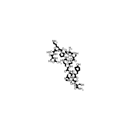 CC(=O)N[C@@H](CS)C(=O)N[C@@H](CS)C(=O)N[C@@H](CCCCN)C(=O)N1CCC[C@H]1C(=O)N[C@@H](C)C(=O)N[C@@H](CS)C(=O)NCC(=O)N[C@@H](CCCNC(=N)N)C(=O)N[C@@H](Cc1c[nH]cn1)C(=O)N[C@@H](Cc1ccc(O)cc1)C(=O)N[C@@H](CO)C(=O)N[C@@H](CS)C(N)=O